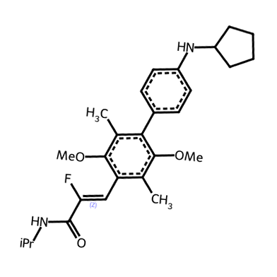 COc1c(C)c(-c2ccc(NC3CCCC3)cc2)c(OC)c(C)c1/C=C(\F)C(=O)NC(C)C